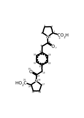 O=C(O)C1CCCN1C(=O)Cc1ccc(CC(=O)N2CCCC2C(=O)O)cc1